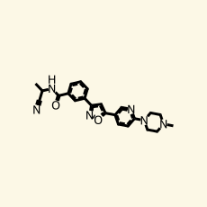 CC(C#N)NC(=O)c1cccc(-c2cc(-c3ccc(N4CCN(C)CC4)nc3)on2)c1